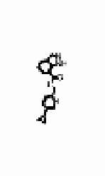 O=C(OCc1ccc(C2CC2)cn1)c1cccc2cn[nH]c12